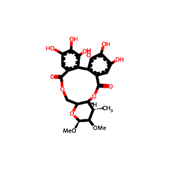 COC1[C@@H](OC)OC2COC(=O)c3cc(O)c(O)c(O)c3-c3c(cc(O)c(O)c3O)C(=O)O[C@H]2[C@@H]1C